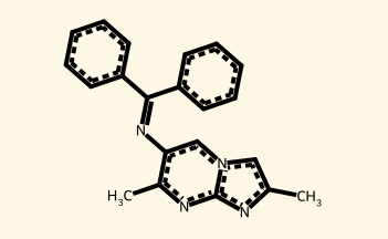 Cc1cn2cc(N=C(c3ccccc3)c3ccccc3)c(C)nc2n1